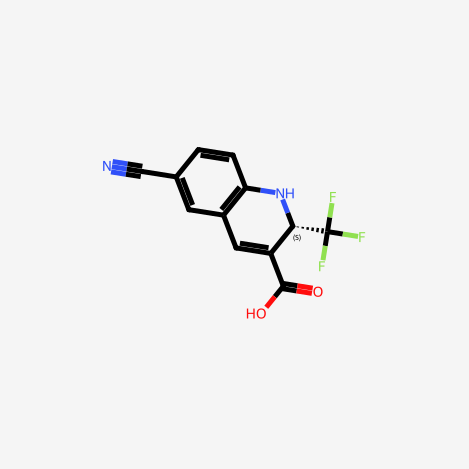 N#Cc1ccc2c(c1)C=C(C(=O)O)[C@@H](C(F)(F)F)N2